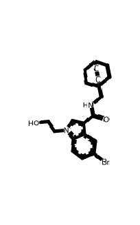 O=C(NCC12CCC(CC1)CC2)c1cn(CCO)c2ccc(Br)cc12